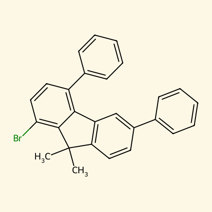 CC1(C)c2ccc(-c3ccccc3)cc2-c2c(-c3ccccc3)ccc(Br)c21